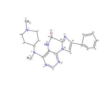 CN1CCC(N(C)c2ncnc3c2[nH]c(=O)c2nc(-c4ccccc4)cn23)CC1